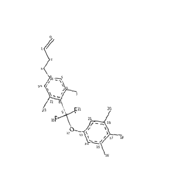 C=CCCc1cc(C)c(C(F)(F)Oc2cc(C)c(C)c(C)c2)c(C)c1